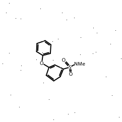 CNS(=O)(=O)c1cccc(Oc2ccccc2)c1